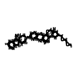 COCOCC1C[C@H]2COc3c(Sc4ncc(N5CCC6(CC5)Cc5ncccc5[C@H]6N)nc4N)ccnc3N2C1